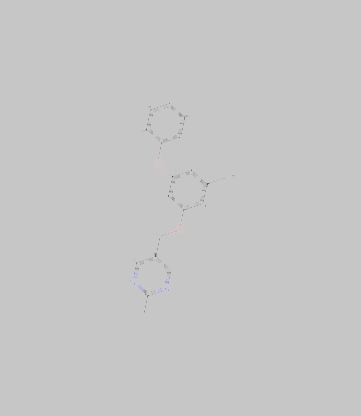 Cc1ncc(COc2cc(F)cc(Oc3[c]cccc3)c2)cn1